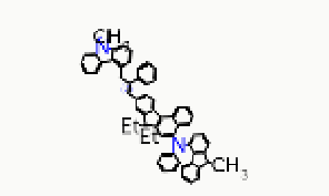 CCC1(CC)c2cc(/C=C(/Cc3cccc4c3c3ccccc3n4C)c3ccccc3)ccc2-c2c1cc(N(c1ccccc1)c1cccc3c1-c1ccccc1C3C)c1ccccc21